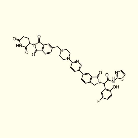 O=C1CCC(N2C(=O)c3ccc(CN4CCN(c5ccc(-c6ccc7c(c6)C(=O)N(C(C(=O)Nc6nccs6)c6cc(F)ccc6O)C7)nn5)CC4)cc3C2=O)C(=O)N1